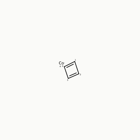 C1=CC=C1.[Co]